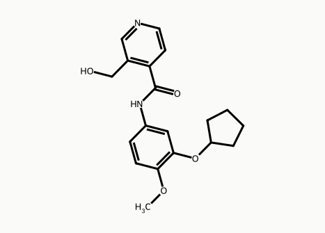 COc1ccc(NC(=O)c2ccncc2CO)cc1OC1CCCC1